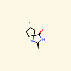 C=C1NC(=O)C2(CC[C@H](C)C2)N1